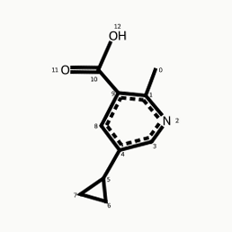 Cc1ncc(C2CC2)cc1C(=O)O